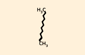 C/C=C/CCCCCCCCC